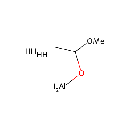 COC(C)[O][AlH2].[HH].[HH]